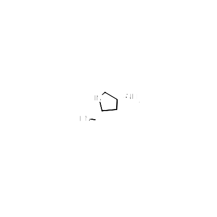 NC[C@H]1C[C@@H](N)CN1